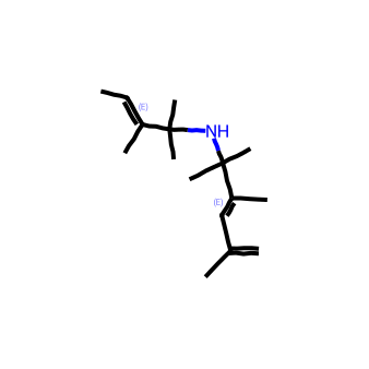 C=C(C)/C=C(\C)C(C)(C)NC(C)(C)/C(C)=C/C